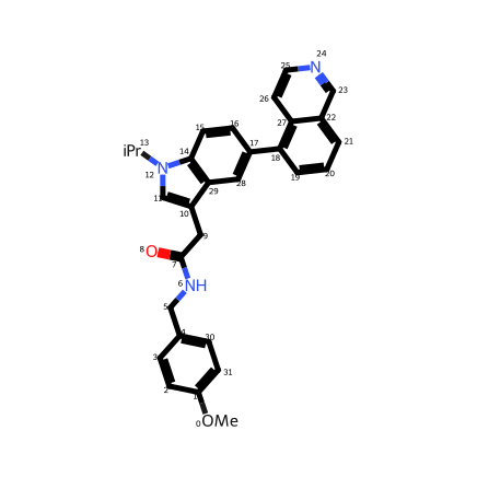 COc1ccc(CNC(=O)Cc2cn(C(C)C)c3ccc(-c4cccc5cnccc45)cc23)cc1